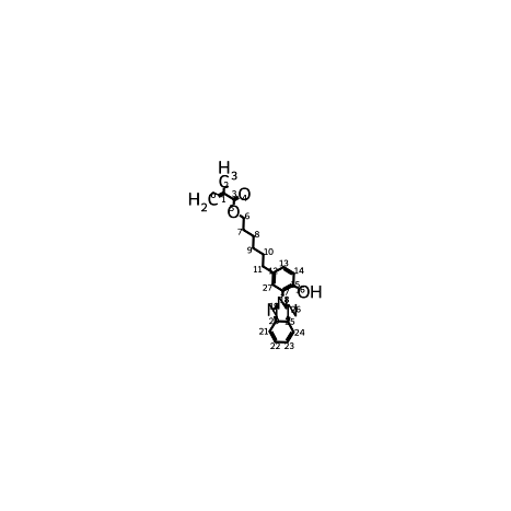 C=C(C)C(=O)OCCCCCCc1ccc(O)c(-n2nc3ccccc3n2)c1